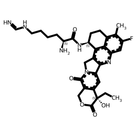 CC[C@@]1(O)C(=O)OCc2c1cc1n(c2=O)Cc2c-1nc1cc(F)c(C)c3c1c2[C@@H](NC(=O)[C@@H](N)CCCCNC=N)CC3